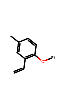 C=Cc1cc(C)ccc1OCC